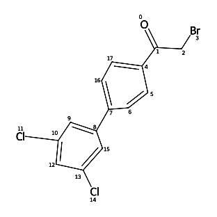 O=C(CBr)c1ccc(-c2cc(Cl)cc(Cl)c2)cc1